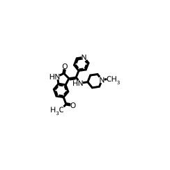 CC(=O)c1ccc2c(c1)C(=C(NC1CCN(C)CC1)c1ccncc1)C(=O)N2